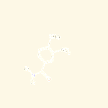 CCN(CC)C(=O)c1ccc(C=O)c([N+](=O)[O-])c1